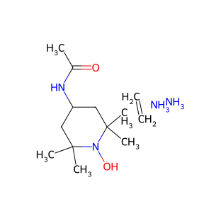 C=C.CC(=O)NC1CC(C)(C)N(O)C(C)(C)C1.N.N